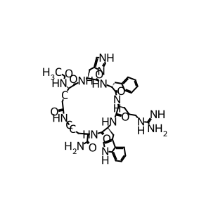 CC(=O)N[C@H]1CCC(=O)NCCCC(C(N)=O)NC(=O)[C@H](Cc2c[nH]c3ccccc23)NC(=O)[C@H](CCCNC(=N)N)NC(=O)[C@@H](Cc2ccccc2)NC(=O)[C@H](Cc2c[nH]cn2)NC1=O